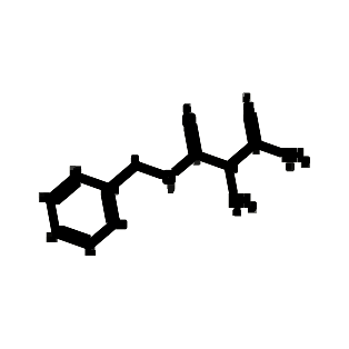 NC(=S)C(N)C(=O)OCc1ccccc1